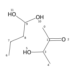 CC(=O)C(C)O.CCCC(O)O